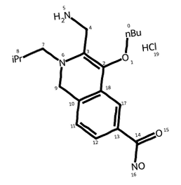 CCCCOC1=C(CN)N(CC(C)C)Cc2ccc(C(=O)N=O)cc21.Cl